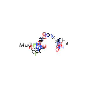 CCc1c(F)ccc2cc(OCOC)cc(-c3ncc4c(N5CCC[C@@]6(CCO6)C5)nc(OC[C@@]56CCCN5[C@H](COC(=O)N5CCC(CN7CCC(c8ccc9c(c8)n(C)c(=O)n9C8CCC(=O)NC8=O)CC7)CC5)CC6)nc4c3F)c12